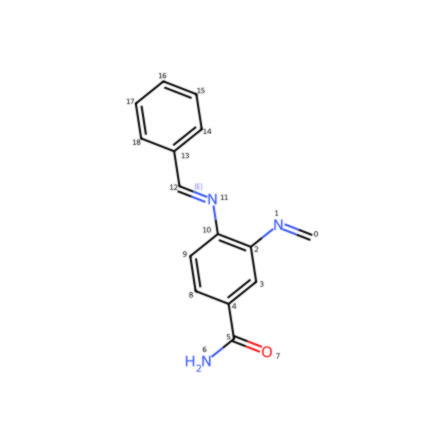 C=Nc1cc(C(N)=O)ccc1/N=C/c1ccccc1